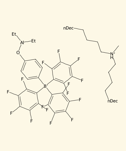 CCCCCCCCCCCCCC[NH+](C)CCCCCCCCCCCCCC.C[CH2][Al]([CH2]C)[O]c1ccc([B-](c2c(F)c(F)c(F)c(F)c2F)(c2c(F)c(F)c(F)c(F)c2F)c2c(F)c(F)c(F)c(F)c2F)cc1